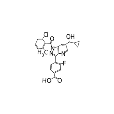 Cc1cccc(Cl)c1C(=O)n1nc(-c2ccc(C(=O)O)cc2F)c2ncc(C(O)C3CC3)cc21